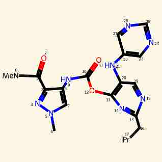 CNC(=O)c1nn(C)cc1NC(=O)Oc1nc(CC(C)C)ncc1Nc1cncnc1